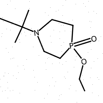 CCOP1(=O)CCN(C(C)(C)C)CC1